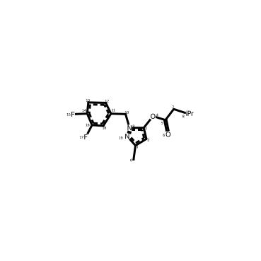 Cc1cc(OC(=O)CC(C)C)n(Cc2ccc(F)c(F)c2)n1